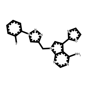 Nc1ncnc2c1c(-c1ncco1)cn2Cc1cn(-c2ccccc2F)nn1